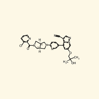 CC(C)(O)COc1cc(-c2ccc(N3C[C@H]4CN(C(=O)c5ncccc5Cl)C[C@H]4C3)nc2)c2c(C#N)cnn2c1